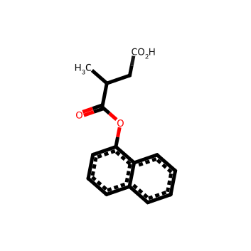 CC(CC(=O)O)C(=O)Oc1cccc2ccccc12